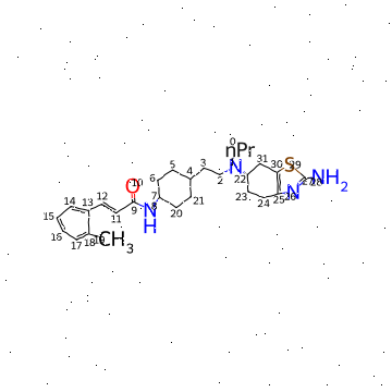 CCCN(CCC1CCC(NC(=O)/C=C/c2ccccc2C)CC1)[C@H]1CCc2nc(N)sc2C1